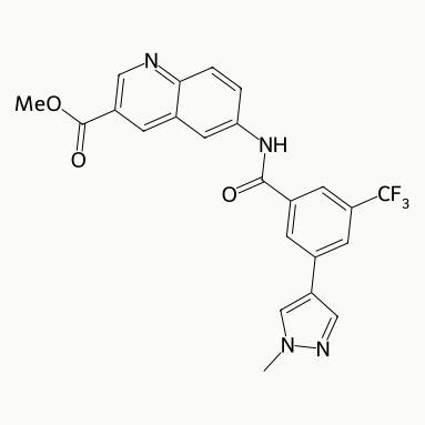 COC(=O)c1cnc2ccc(NC(=O)c3cc(-c4cnn(C)c4)cc(C(F)(F)F)c3)cc2c1